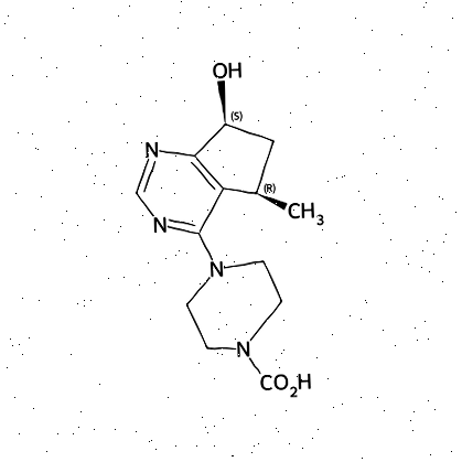 C[C@@H]1C[C@H](O)c2ncnc(N3CCN(C(=O)O)CC3)c21